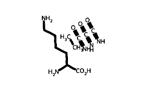 CC.N=C=O.N=C=O.N=C=O.NCCCCC(N)C(=O)O